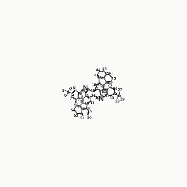 CC(C)(C)c1ccc(-c2c3c(cc4c2ccc2c5cc6c(c(-c7ccc(C(C)(C)C)cc7C#N)c5ccc42)-c2cccc4cccc-6c24)-c2cccc4cccc-3c24)c(C#N)c1